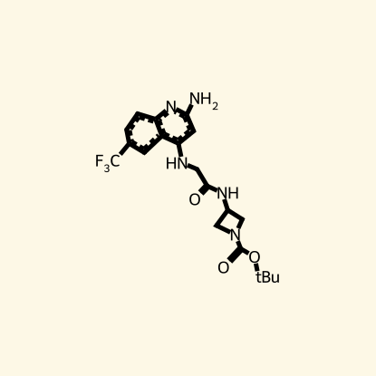 CC(C)(C)OC(=O)N1CC(NC(=O)CNc2cc(N)nc3ccc(C(F)(F)F)cc23)C1